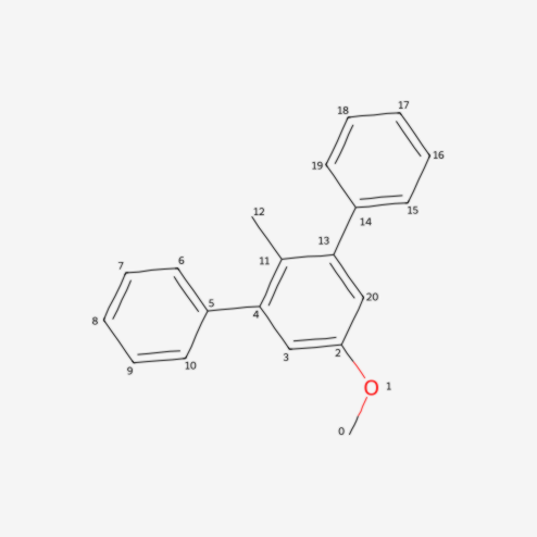 COc1cc(-c2ccccc2)c(C)c(-c2ccccc2)c1